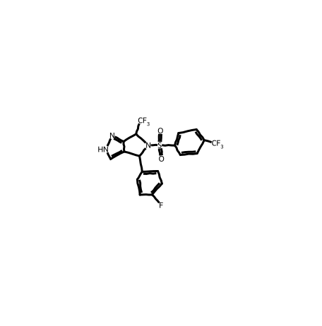 O=S(=O)(c1ccc(C(F)(F)F)cc1)N1C(c2ccc(F)cc2)c2c[nH]nc2C1C(F)(F)F